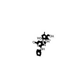 C[C@@H]1C[C@](O)(n2cnc3c(NC4CC5CCC4C5)nc(Cl)cc32)[C@]2(O)[C@@H](C)C12CO